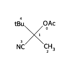 CC(=O)OC(C)(C#N)C(C)(C)C